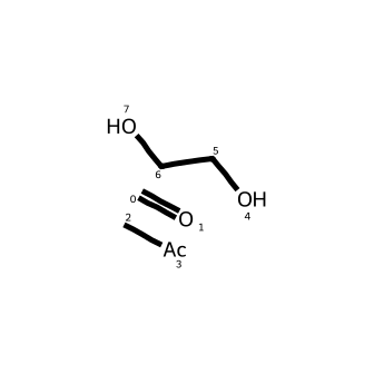 C=O.CC(C)=O.OCCO